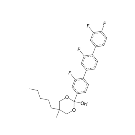 CCCCCC1(C)COC(O)(c2ccc(-c3ccc(-c4ccc(F)c(F)c4)c(F)c3)c(F)c2)OC1